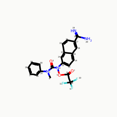 CN(C(=O)N(OC(=O)C(F)(F)F)c1ccc2cc(C(=N)N)ccc2c1)c1ccccc1